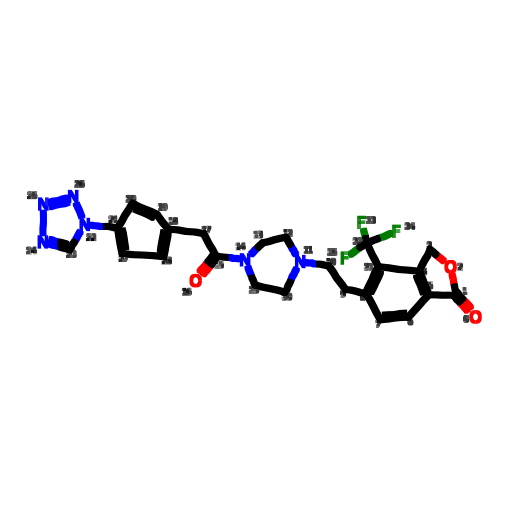 O=C1OCc2c1ccc(CCN1CCN(C(=O)Cc3ccc(-n4cnnn4)cc3)CC1)c2C(F)(F)F